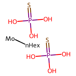 CCCCC[CH2][Mo].OP(O)(O)=S.OP(O)(O)=S